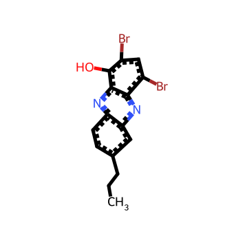 CCCc1ccc2nc3c(O)c(Br)cc(Br)c3nc2c1